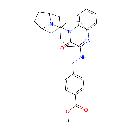 COC(=O)c1ccc(CNc2nc3ccccc3n(C3CC4CCC(C3)N4C3CCCCCCC3)c2=O)cc1